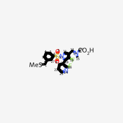 CSCc1cccc(S(=O)(=O)n2cc(CN(C)C(=O)O)c(F)c2-c2cccnc2F)c1